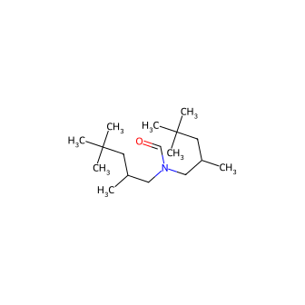 CC(CN(C=O)CC(C)CC(C)(C)C)CC(C)(C)C